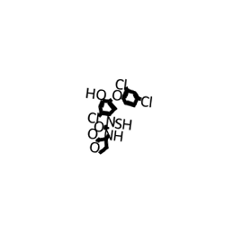 O=C1OCCC1NC(=O)N(S)c1cc(Oc2ccc(Cl)cc2Cl)c(O)cc1Cl